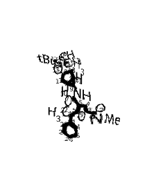 CNC(=O)c1cc(C(=O)N[C@H]2[C@@H]3CC(O[Si](C)(C)C(C)(C)C)C[C@@H]32)c([C@@H](C)c2ccccc2)o1